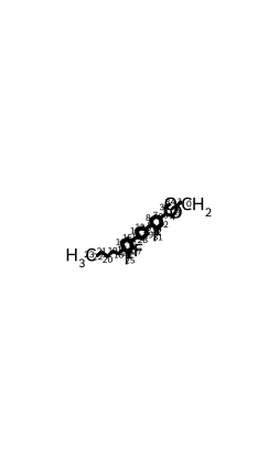 C=CC1OCC(c2ccc(-c3ccc(-c4ccc(CCCCCC)c(F)c4F)cc3)c(F)c2)CO1